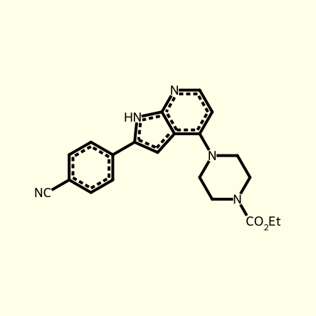 CCOC(=O)N1CCN(c2ccnc3[nH]c(-c4ccc(C#N)cc4)cc23)CC1